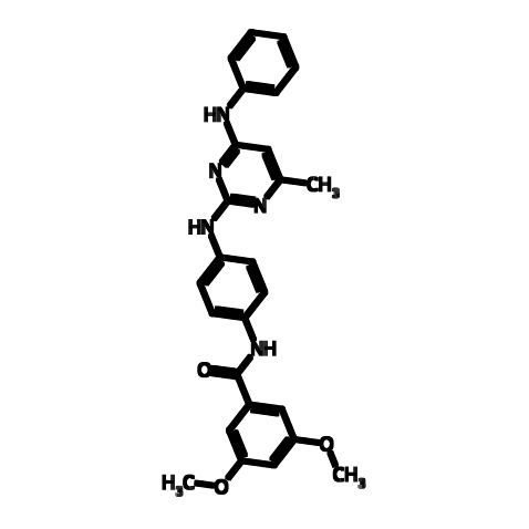 COc1cc(OC)cc(C(=O)Nc2ccc(Nc3nc(C)cc(Nc4ccccc4)n3)cc2)c1